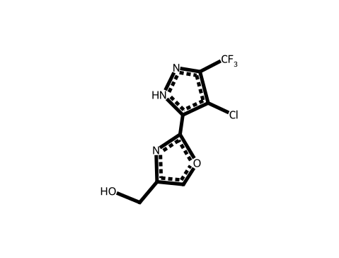 OCc1coc(-c2[nH]nc(C(F)(F)F)c2Cl)n1